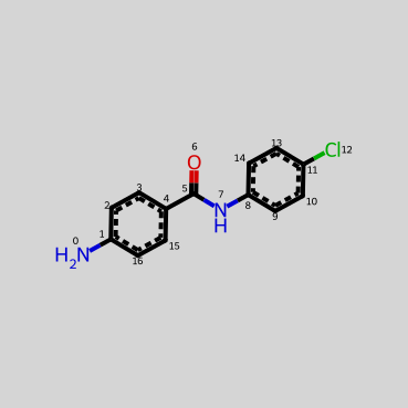 Nc1ccc(C(=O)Nc2ccc(Cl)cc2)cc1